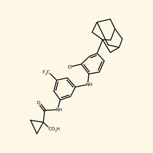 O=C(O)C1(C(=O)Nc2cc(Nc3ccc(C45CC6CC(CC(C6)C4)C5)cc3Cl)cc(C(F)(F)F)c2)CC1